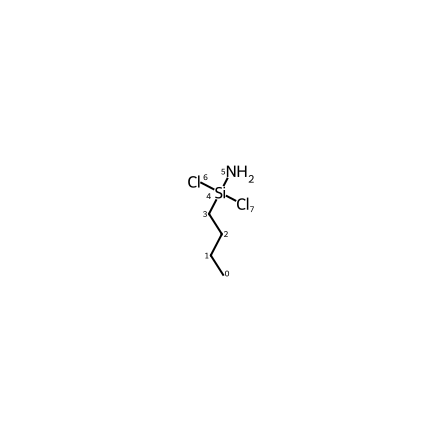 CCCC[Si](N)(Cl)Cl